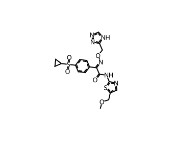 COCc1cnc(NC(=O)/C(=N/OCc2nnc[nH]2)c2ccc(S(=O)(=O)C3CC3)cc2)s1